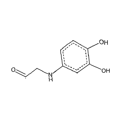 O=[C]CNc1ccc(O)c(O)c1